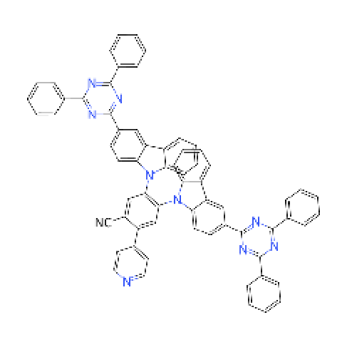 N#Cc1cc(-n2c3ccccc3c3cc(-c4nc(-c5ccccc5)nc(-c5ccccc5)n4)ccc32)c(-n2c3ccccc3c3cc(-c4nc(-c5ccccc5)nc(-c5ccccc5)n4)ccc32)cc1-c1ccncc1